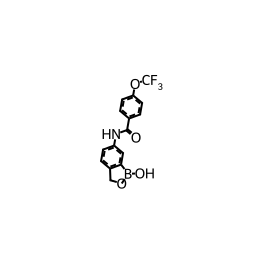 O=C(Nc1ccc2c(c1)B(O)OC2)c1ccc(OC(F)(F)F)cc1